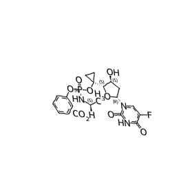 C[C@H](N[P@@](=O)(Oc1ccccc1)OC1([C@H]2O[C@@H](n3cc(F)c(=O)[nH]c3=O)C[C@@H]2O)CC1)C(=O)O